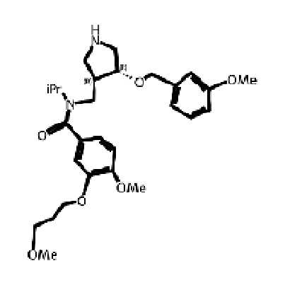 COCCCOc1cc(C(=O)N(C[C@H]2CNC[C@@H]2OCc2cccc(OC)c2)C(C)C)ccc1OC